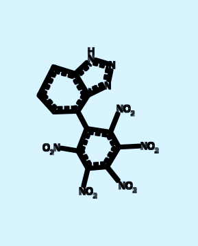 O=[N+]([O-])c1c(-c2cccc3[nH]nnc23)c([N+](=O)[O-])c([N+](=O)[O-])c([N+](=O)[O-])c1[N+](=O)[O-]